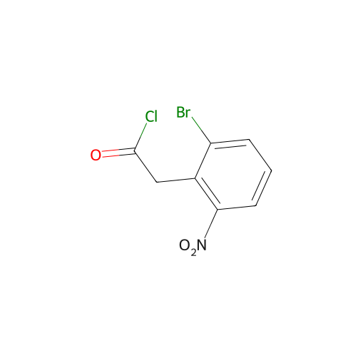 O=C(Cl)Cc1c(Br)cccc1[N+](=O)[O-]